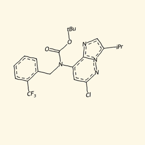 CC(C)c1cnc2c(N(Cc3ccccc3C(F)(F)F)C(=O)OC(C)(C)C)cc(Cl)nn12